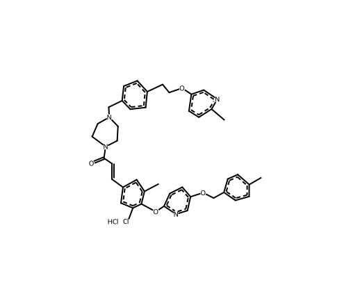 Cc1ccc(COc2ccc(Oc3c(C)cc(C=CC(=O)N4CCN(Cc5ccc(CCOc6ccc(C)nc6)cc5)CC4)cc3Cl)nc2)cc1.Cl